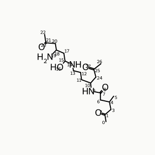 CC(=O)CC(C)CC(=O)NC(CCCNC(O)CC(N)CC(C)=O)CC(C)=O